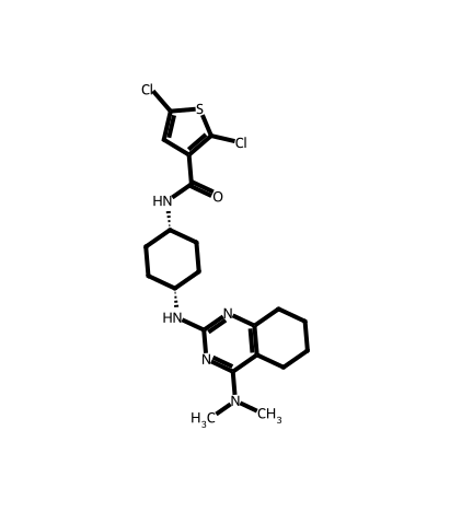 CN(C)c1nc(N[C@H]2CC[C@@H](NC(=O)c3cc(Cl)sc3Cl)CC2)nc2c1CCCC2